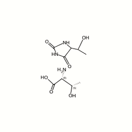 CC(O)C1NC(=O)NC1=O.C[C@H](O)[C@@H](N)C(=O)O